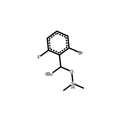 C[SiH](C)OC(c1c(F)cccc1Br)C(C)(C)C